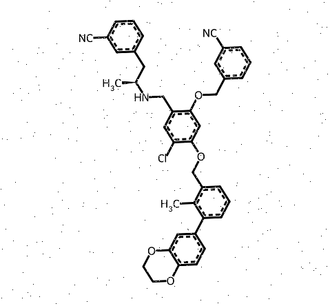 Cc1c(COc2cc(OCc3cccc(C#N)c3)c(CN[C@@H](C)Cc3cccc(C#N)c3)cc2Cl)cccc1-c1ccc2c(c1)OCCO2